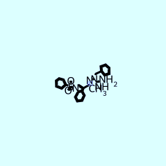 C/C(=N\N(Cc1ccccc1)C(=N)N)c1cn(S(=O)(=O)c2ccccc2)c2ccccc12